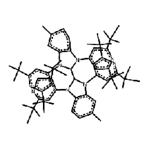 Cc1ccc2c(c1)N(c1cc(C(C)(C)C)nc(C(C)(C)C)c1)C(C1N(c3cc(C(C)(C)C)nc(C(C)(C)C)c3)c3cc(C)ccc3N1c1cc(C(C)(C)C)ncc1C(C)(C)C)N2c1cc(C(C)(C)C)nc(C(C)(C)C)c1